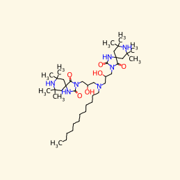 CCCCCCCCCCCCN(CC(O)CN1C(=O)NC2(CC(C)(C)NC(C)(C)C2)C1=O)CC(O)CN1C(=O)NC2(CC(C)(C)NC(C)(C)C2)C1=O